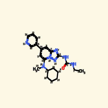 CCNC(=O)Nc1nc2cc(-c3cccnc3)cc(N(C)C3CCCCC3)n2n1